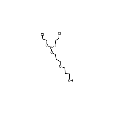 OCCCOCCCOP(OCCCl)OCCCl